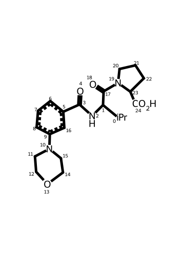 CC(C)C(NC(=O)c1cccc(N2CCOCC2)c1)C(=O)N1CCCC1C(=O)O